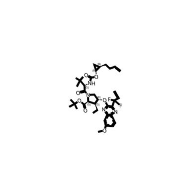 C=CCC[C@@H]1C[C@H]1OC(=O)N[C@H](C(=O)N1C[C@H](Oc2nc3cc(OC)ccc3nc2C(F)(F)C=C)[C@@H](CC)[C@H]1C(=O)OC(C)(C)C)C(C)(C)C